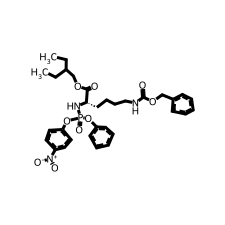 CCC(CC)COC(=O)[C@H](CCCCNC(=O)OCc1ccccc1)NP(=O)(Oc1ccccc1)Oc1ccc([N+](=O)[O-])cc1